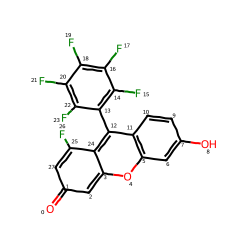 O=c1cc2oc3cc(O)ccc3c(-c3c(F)c(F)c(F)c(F)c3F)c-2c(F)c1